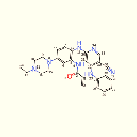 C=CC(=O)Nc1cc(N2CCN(CC)CC2)ccc1Nc1cc(Nc2ccccc2)c(C#N)cn1